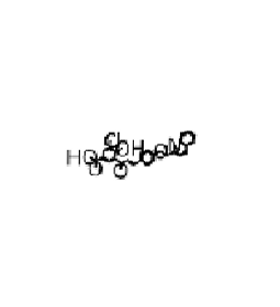 O=C(O)c1cc(Cl)c(O)c(C(=O)C=Cc2ccc(OCc3ccc4ccccc4n3)cc2)c1